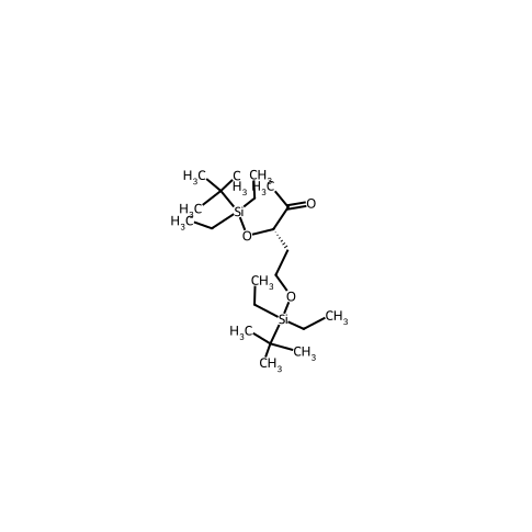 CC[Si](CC)(OCC[C@H](O[Si](CC)(CC)C(C)(C)C)C(C)=O)C(C)(C)C